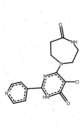 O=C1CCN(c2nc(-c3ccncc3)[nH]c(=O)c2Cl)CCN1